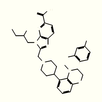 CCC(O)Cn1c(CN2CCC(c3cccc4c3N(C)[C@H](c3ccc(Cl)cc3F)CO4)CC2)nc2ccc(C(=O)O)nc21